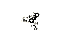 C=CC(=O)Nc1cc(OCCCC)c(OC)cc1C=C1C(=O)C2(CC)CCC1C2(C)C